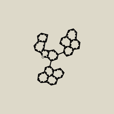 c1ccc2c(c1)ccc1oc3c(-c4cc5cccc6ccc7cccc4c7c65)cc(-c4ccc5ccc6cccc7ccc4c5c67)cc3c12